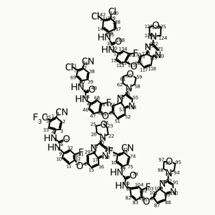 N#Cc1ccc(NC(=O)Nc2ccc(Oc3ccc4ncc(N5CCOCC5)nc4c3)c(F)c2)cc1C(F)(F)F.N#Cc1ccc(NC(=O)Nc2ccc(Oc3ccc4ncc(N5CCOCC5)nc4c3)c(F)c2)cc1Cl.N#Cc1ccc(NC(=O)Nc2ccc(Oc3ccc4ncc(N5CCOCC5)nc4c3)c(F)c2)cc1F.O=C(Nc1ccc(Oc2ccc3ncc(N4CCOCC4)nc3c2)c(F)c1)Nc1ccc(Cl)c(Cl)c1